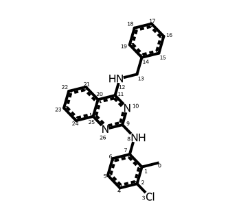 Cc1c(Cl)cccc1Nc1nc(NCc2ccccc2)c2ccccc2n1